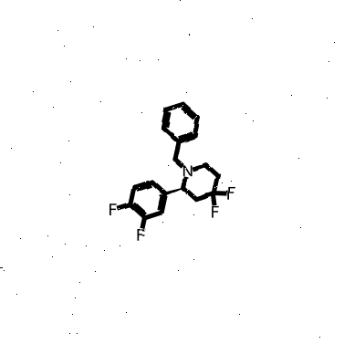 Fc1ccc([C@@H]2CC(F)(F)CCN2Cc2ccccc2)cc1F